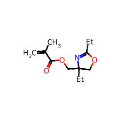 C=C(C)C(=O)OCC1(CC)COC(CC)=N1